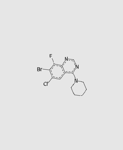 Fc1c(Br)c(Cl)cc2c(N3CCCCC3)ncnc12